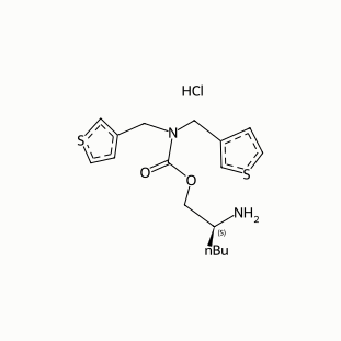 CCCC[C@H](N)COC(=O)N(Cc1ccsc1)Cc1ccsc1.Cl